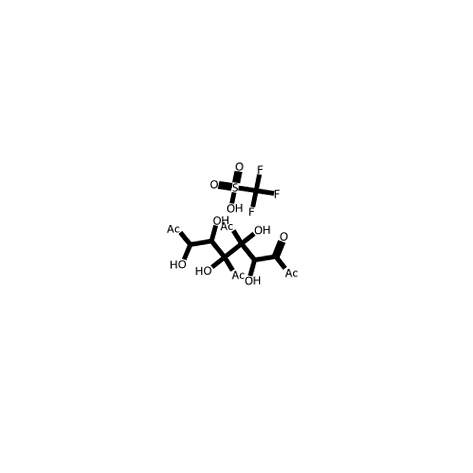 CC(=O)C(=O)C(O)C(O)(C(C)=O)C(O)(C(C)=O)C(O)C(O)C(C)=O.O=S(=O)(O)C(F)(F)F